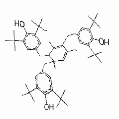 CC1=CC(C)(Cc2cc(C(C)(C)C)c(O)c(C(C)(C)C)c2)C(Cc2cc(C(C)(C)C)c(O)c(C(C)(C)C)c2)C(C)=C1Cc1cc(C(C)(C)C)c(O)c(C(C)(C)C)c1